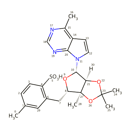 Cc1ccc(S(=O)(=O)O)c(C[C@@H]2O[C@H](n3ccc4c(C)ncnc43)[C@H]3OC(C)(C)O[C@@]23C)c1